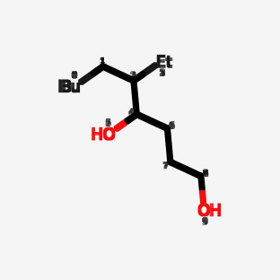 CCC(C)CC(CC)C(O)CCCO